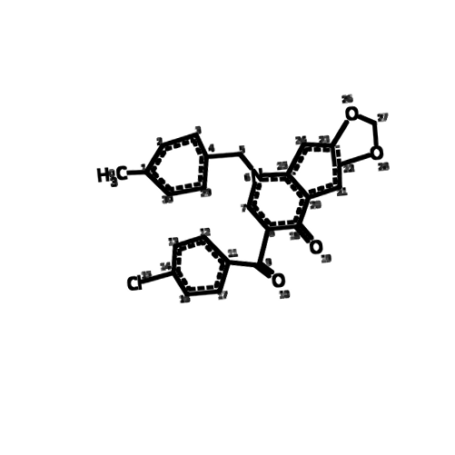 Cc1ccc(Cn2cc(C(=O)c3ccc(Cl)cc3)c(=O)c3cc4c(cc32)OCO4)cc1